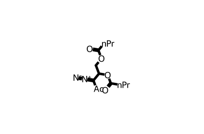 CCCC(=O)OCC(OC(=O)CCC)C(=[N+]=[N-])C(C)=O